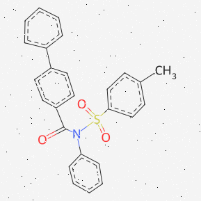 Cc1ccc(S(=O)(=O)N(C(=O)c2ccc(-c3ccccc3)cc2)c2ccccc2)cc1